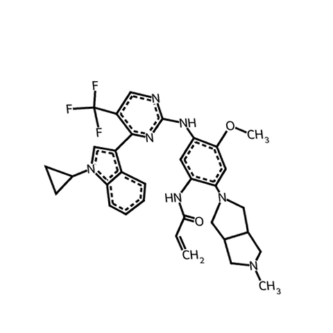 C=CC(=O)Nc1cc(Nc2ncc(C(F)(F)F)c(-c3cn(C4CC4)c4ccccc34)n2)c(OC)cc1N1CC2CN(C)CC2C1